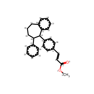 COC(=O)C=Cc1ccc(C2c3ccccc3CCCC2c2ccccc2)cc1